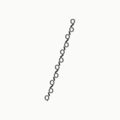 COCCOCCOCCOCCOCCOCCOCCOCCOCCOCCOC